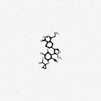 Cn1ncc(-c2ccc3c(=O)[nH]nc(CN)c3c2)c1-c1c(F)c(Cl)cc(OC2(C(F)F)CC2)c1C#N